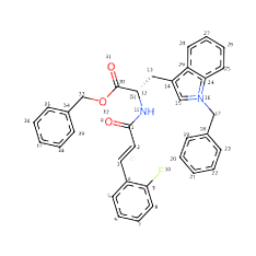 O=C(/C=C/c1ccccc1F)N[C@@H](Cc1cn(Cc2ccccc2)c2ccccc12)C(=O)OCc1ccccc1